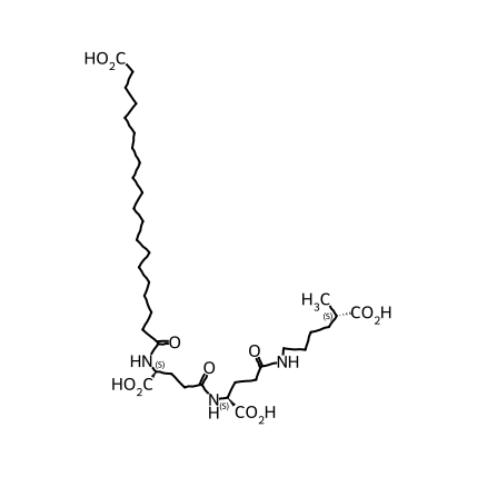 C[C@@H](CCCCNC(=O)CC[C@H](NC(=O)CC[C@H](NC(=O)CCCCCCCCCCCCCCCCCCC(=O)O)C(=O)O)C(=O)O)C(=O)O